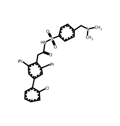 CC(C)c1cc(-c2ccccc2Cl)cc(C(C)C)c1CC(=O)NS(=O)(=O)c1ccc(CN(C)C)cc1